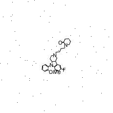 COc1ccccc1N1c2ccc(F)cc2C2CN(CCCCN3CCCCC3=O)CCC21